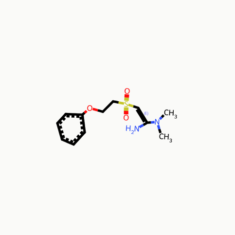 CN(C)/C(N)=C/S(=O)(=O)CCOc1ccccc1